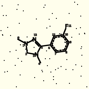 CN1CN(C)C(c2cccc(F)c2)=N1